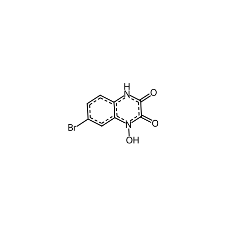 O=c1[nH]c2ccc(Br)cc2n(O)c1=O